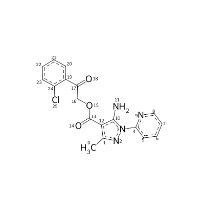 Cc1nn(-c2ccccn2)c(N)c1C(=O)OCC(=O)c1ccccc1Cl